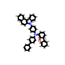 c1ccc(-c2ccc(N(c3ccc(-n4c5ccccc5c5c6ccccc6ccc54)cc3)c3cccc4c3oc3ccccc34)cc2)cc1